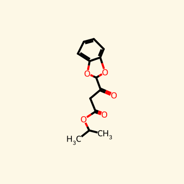 CC(C)OC(=O)CC(=O)C1Oc2ccccc2O1